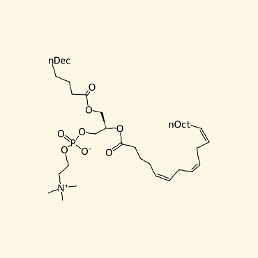 CCCCCCCC/C=C\C/C=C\C/C=C\CCCC(=O)O[C@H](COC(=O)CCCCCCCCCCCCC)COP(=O)([O-])OCC[N+](C)(C)C